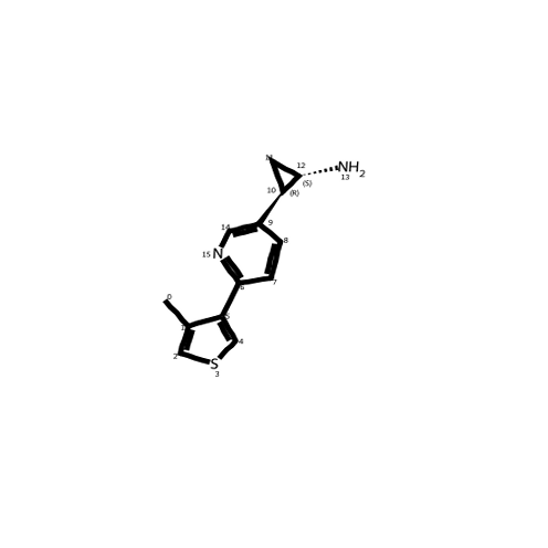 Cc1cscc1-c1ccc([C@H]2C[C@@H]2N)cn1